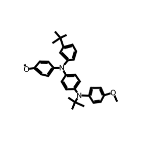 COc1ccc(N(c2ccc(N(c3ccc(OC)cc3)C(C)(C)C)cc2)c2cccc(C(C)(C)C)c2)cc1